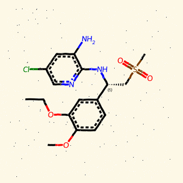 CCOc1cc([C@@H](CS(C)(=O)=O)Nc2ncc(Cl)cc2N)ccc1OC